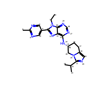 CCn1c(-c2cnc(C)nc2)nc2c(N[C@@H]3CCc4cnc(C(C)C)n4C3)ncnc21